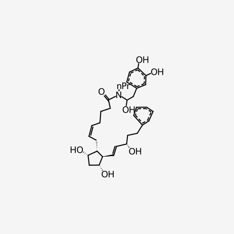 CCCN(C(=O)CCC/C=C\C[C@@H]1[C@@H](/C=C/[C@@H](O)CCc2ccccc2)[C@H](O)C[C@@H]1O)C(O)Cc1ccc(O)c(O)c1